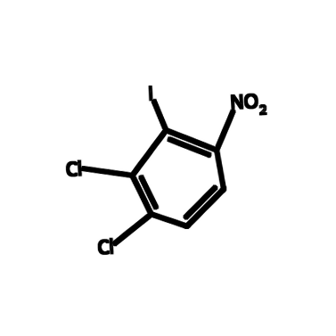 O=[N+]([O-])c1ccc(Cl)c(Cl)c1I